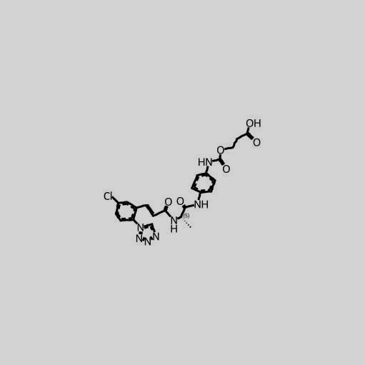 C[C@H](NC(=O)C=Cc1cc(Cl)ccc1-n1cnnn1)C(=O)Nc1ccc(NC(=O)OCCC(=O)O)cc1